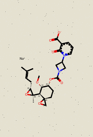 CO[C@@H]1[C@H](OC(=O)N2CC(n3cccc(C(=O)[O-])c3=O)C2)CC[C@]2(CO2)[C@H]1[C@@]1(C)O[C@@H]1CC=C(C)C.[Na+]